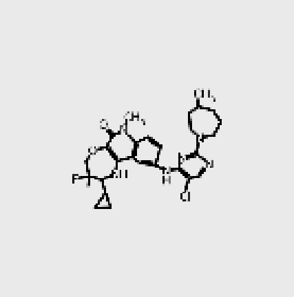 CC1CCCN(c2ncc(Cl)c(Nc3ccc4c(c3)c3c(c(=O)n4C)OCC(F)(F)C(C4CC4)N3)n2)CC1